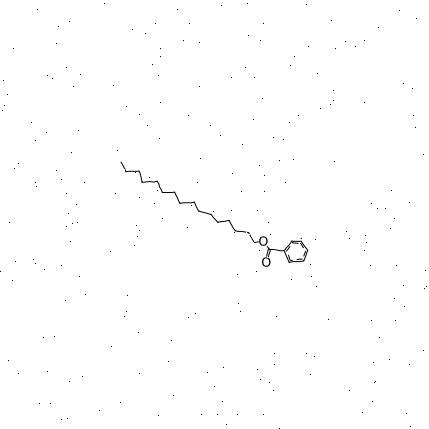 CCCCCCCCCCCCCCCCOC(=O)c1c[c]ccc1